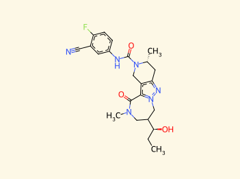 CC[C@H](O)C1CN(C)C(=O)c2c3c(nn2C1)C[C@@H](C)N(C(=O)Nc1ccc(F)c(C#N)c1)C3